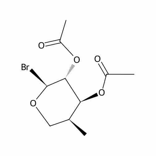 CC(=O)O[C@@H]1[C@@H](OC(C)=O)[C@@H](C)CO[C@H]1Br